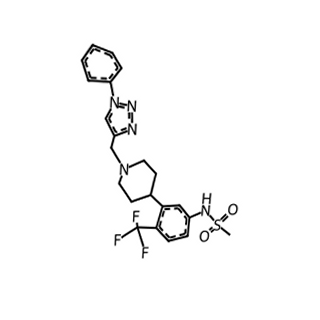 CS(=O)(=O)Nc1ccc(C(F)(F)F)c(C2CCN(Cc3cn(-c4ccccc4)nn3)CC2)c1